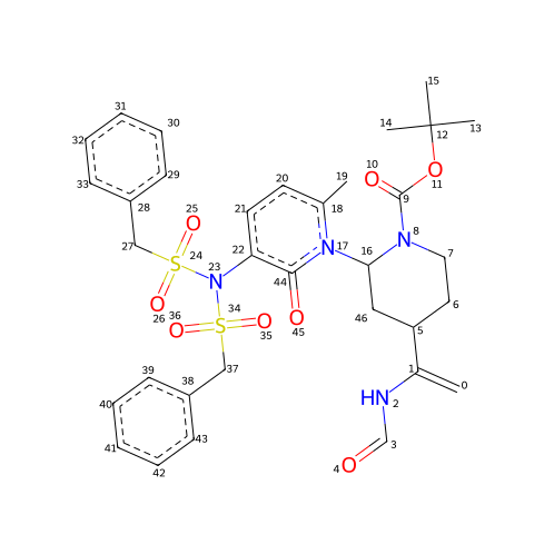 C=C(NC=O)C1CCN(C(=O)OC(C)(C)C)C(n2c(C)ccc(N(S(=O)(=O)Cc3ccccc3)S(=O)(=O)Cc3ccccc3)c2=O)C1